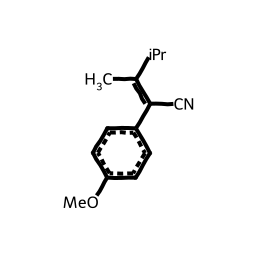 COc1ccc(/C(C#N)=C(\C)C(C)C)cc1